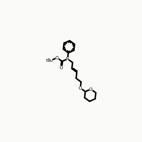 CC(C)(C)OC(=O)N(C/C=C/CCOC1CCCCO1)c1ccccc1